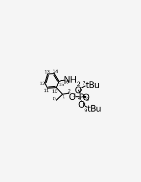 CC(COP(=O)(OC(C)(C)C)OC(C)(C)C)c1ccccc1N